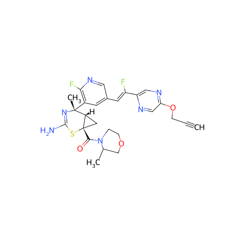 C#CCOc1cnc(/C(F)=C/c2cnc(F)c([C@@]3(C)N=C(N)S[C@@]4(C(=O)N5CCOCC5C)C[C@H]43)c2)cn1